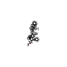 CCCCC1(CC)CN(c2ccccc2)c2cc(Br)c(OCC(=O)N[C@H](Cc3ccccc3)C(=O)O)cc2S(=O)(=O)C1